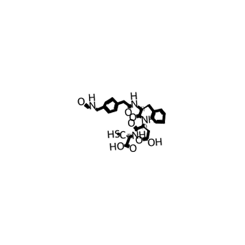 O=CNCc1ccc(CC(=O)N[C@@H](Cc2ccccc2)C(=O)N[C@@H](CC(=O)O)C(=O)N[C@@H](CS)C(=O)O)cc1